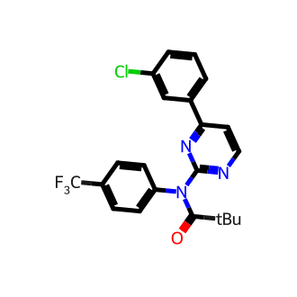 CC(C)(C)C(=O)N(c1ccc(C(F)(F)F)cc1)c1nccc(-c2cccc(Cl)c2)n1